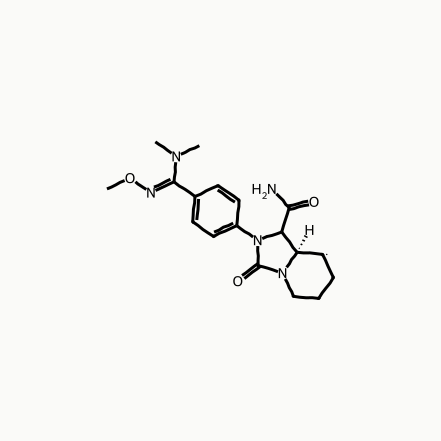 CON=C(c1ccc(N2C(=O)N3CCC[CH][C@@H]3C2C(N)=O)cc1)N(C)C